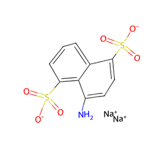 Nc1ccc(S(=O)(=O)[O-])c2cccc(S(=O)(=O)[O-])c12.[Na+].[Na+]